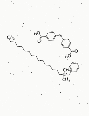 CCCCCCCCCCCCCCCC[N+](C)(C)Cc1ccccc1.O=C(O)c1ccc(Sc2ccc(C(=O)O)cc2)cc1